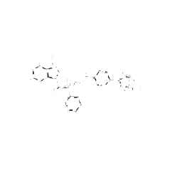 O=C(c1c[nH]c2ccccc12)[C@H](NCCc1ccc(-c2nn[nH]n2)cc1)c1ccccc1